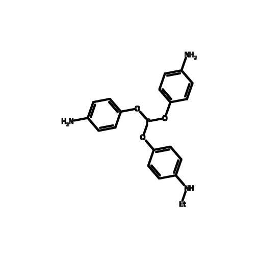 CCNc1ccc(OP(Oc2ccc(N)cc2)Oc2ccc(N)cc2)cc1